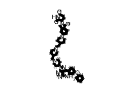 Nc1ncnc2c1c(-c1ccc(Oc3ccccc3)cc1)nn2C1CCN(CC2CCN(CCC3CCN(c4ccc5c(c4)CN(C4CCC(=O)NC4=O)C5=O)CC3)CC2)CC1